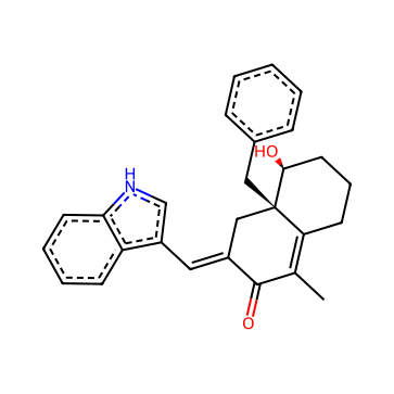 CC1=C2CCC[C@H](O)[C@@]2(Cc2ccccc2)CC(=Cc2c[nH]c3ccccc23)C1=O